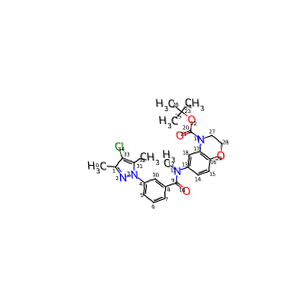 Cc1nn(-c2cccc(C(=O)N(C)c3ccc4c(c3)N(C(=O)OC(C)(C)C)CCO4)c2)c(C)c1Cl